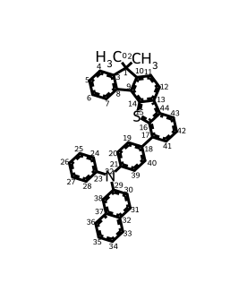 CC1(C)c2ccccc2-c2c1ccc1c2sc2c(-c3ccc(N(c4ccccc4)c4ccc5ccccc5c4)cc3)cccc21